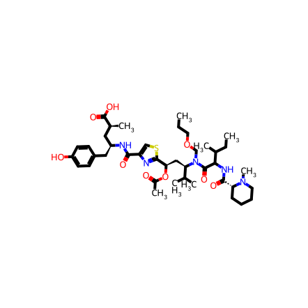 CCCOCN(C(=O)C(NC(=O)[C@H]1CCCCN1C)C(C)CC)[C@H](C[C@@H](OC(C)=O)c1nc(C(=O)N[C@@H](Cc2ccc(O)cc2)C[C@H](C)C(=O)O)cs1)C(C)C